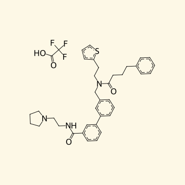 O=C(NCCN1CCCC1)c1cccc(-c2cccc(CN(CCc3cccs3)C(=O)CCCc3ccccc3)c2)c1.O=C(O)C(F)(F)F